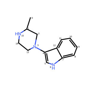 CC1CN(c2c[nH]c3ccccc23)CCN1